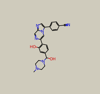 CN1CCN(C(O)c2ccc(-c3cn4c(-c5ccc(C#N)cc5)cnc4cn3)c(O)c2)CC1